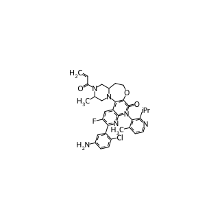 C=CC(=O)N1CC2CCOc3c(c4cc(F)c(-c5cc(N)ccc5Cl)nc4n(-c4c(C)ccnc4C(C)C)c3=O)N2CC1C